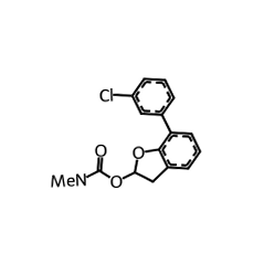 CNC(=O)OC1Cc2cccc(-c3cccc(Cl)c3)c2O1